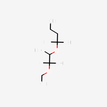 CCCC(C)(C)OC(C)C(C)(C)OCC